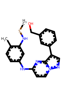 CSNc1cc(Nc2ccn3ncc(-c4cccc(CO)c4)c3n2)ccc1C